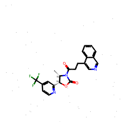 C[C@H]1[C@@H](c2cc(C(F)(F)F)ccn2)OC(=O)N1C(=O)CCc1cncc2ccccc12